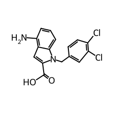 Nc1cccc2c1cc(C(=O)O)n2Cc1ccc(Cl)c(Cl)c1